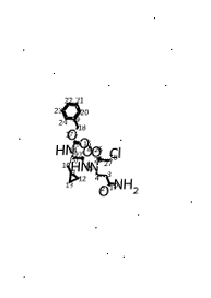 NC(=O)CCN(NC(=O)[C@H](CC1CC1)NC(=O)OCc1ccccc1)C(=O)CCl